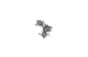 CC(COCC(COCC(C)n1c(=O)c2c(N)c3c(=O)c4ccccc4c(=O)c3c(N)c2c1=O)OCC(C)n1c(=O)c2c(N)c3c(=O)c4ccccc4c(=O)c3c(N)c2c1=O)n1c(=O)c2c(N)c3c(=O)c4ccccc4c(=O)c3c(N)c2c1=O